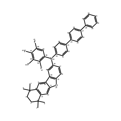 CC1(C)CCC(C)(C)c2cc3c(cc21)oc1ccc(N(c2ccc(-c4ccc(-c5ccccc5)cc4)cc2)c2cc(F)c(F)c(F)c2F)cc13